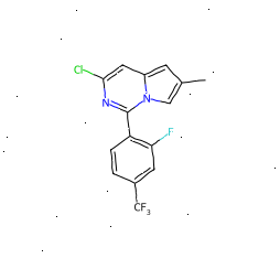 Cc1cc2cc(Cl)nc(-c3ccc(C(F)(F)F)cc3F)n2c1